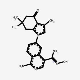 Cc1cn(-c2ccc3c(N)ncc(/C(N)=N/O)c3c2)c2c1C(=O)CC(C)(C)C2